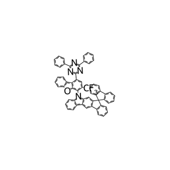 FC(F)(F)c1cc(-c2nc(-c3ccccc3)nc(-c3ccccc3)n2)c2c(oc3ccccc32)c1-n1c2ccccc2c2cc3c(cc21)C1(c2ccccc2-c2ccccc21)c1ccccc1-3